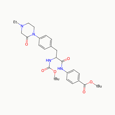 CCN1CCN(c2ccc(CC(NC(=O)OC(C)(C)C)C(=O)Nc3ccc(C(=O)OC(C)(C)C)cc3)cc2)C(=O)C1